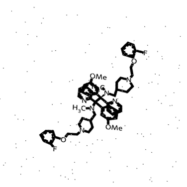 COc1cccc(C(c2ccccn2)(N(C)CC2CCN(CCOc3ccccc3F)CC2)[C@](c2cccc(OC)c2)(c2ccccn2)N(C)CC2CCN(CCOc3ccccc3F)CC2)c1